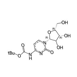 CC(C)(C)OC(=O)Nc1ccn([C@@H]2O[C@H](CO)[C@H](O)C2O)c(=O)n1